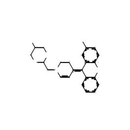 OC1COC(CN2C=CC(=C3c4ccccc4Sc4ccc(Cl)cc43)CC2)OC1